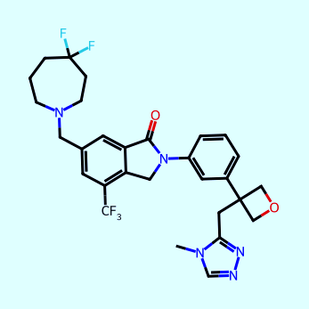 Cn1cnnc1CC1(c2cccc(N3Cc4c(cc(CN5CCCC(F)(F)CC5)cc4C(F)(F)F)C3=O)c2)COC1